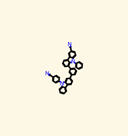 N#Cc1ccc(-n2c3ccccc3c3ccc(-c4cccc(-c5cccc6c7cc(C#N)ccc7n(-c7ccccc7)c56)c4)cc32)cc1